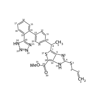 C=CCSc1nc2c(C(C)c3ccc(-c4ccccc4-c4nnn[nH]4)cc3)sc(C(=O)OC)c2[nH]1